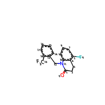 O=C1CCc2c(F)cccc2N1Cc1ccccc1C(F)(F)F